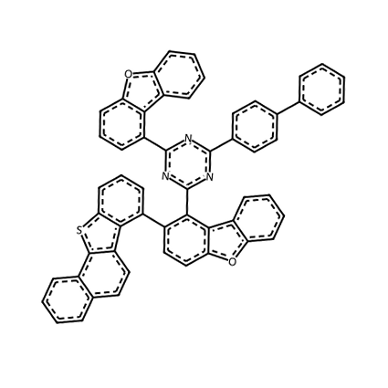 c1ccc(-c2ccc(-c3nc(-c4cccc5oc6ccccc6c45)nc(-c4c(-c5cccc6sc7c8ccccc8ccc7c56)ccc5oc6ccccc6c45)n3)cc2)cc1